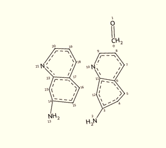 C=O.Nc1ccc2cccnc2c1.Nc1ccc2cccnc2c1